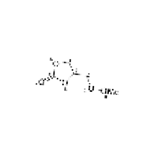 COOCC1COC(=O)O1